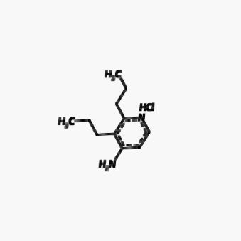 CCCc1nccc(N)c1CCC.Cl